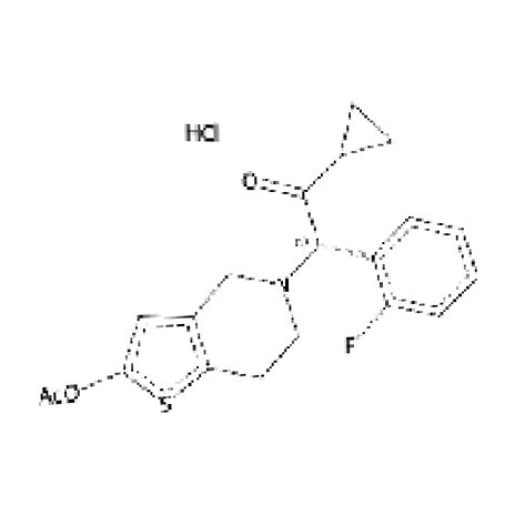 CC(=O)Oc1cc2c(s1)CCN([C@H](C(=O)C1CC1)c1ccccc1F)C2.Cl